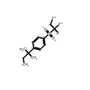 CCC(C)(C)c1ccc(S(=O)(=O)C(F)(F)CF)cc1